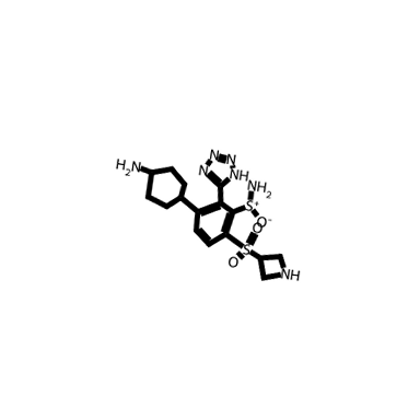 NC1CCC(c2ccc(S(=O)(=O)C3CNC3)c([S+](N)[O-])c2-c2nnn[nH]2)CC1